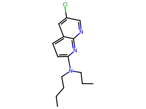 CCCCN(CCC)c1ccc2cc(Cl)cnc2n1